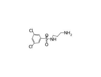 NCCCNS(=O)(=O)c1cc(Cl)cc(Cl)c1